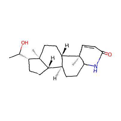 CC(O)[C@H]1CC[C@H]2[C@@H]3CCC4NC(=O)C=C[C@]4(C)[C@H]3CC[C@]12C